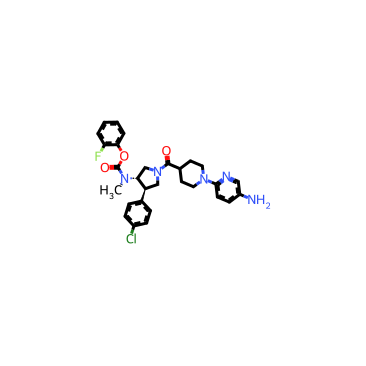 CN(C(=O)Oc1ccccc1F)[C@@H]1CN(C(=O)C2CCN(c3ccc(N)cn3)CC2)C[C@H]1c1ccc(Cl)cc1